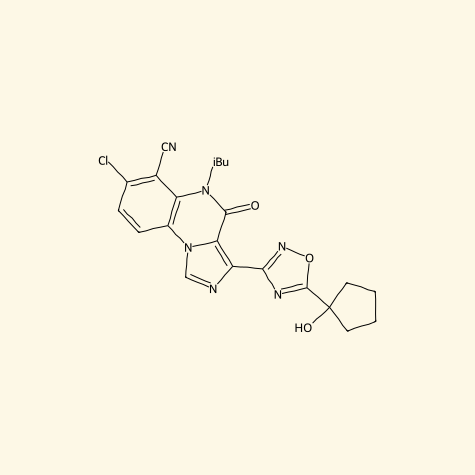 CCC(C)n1c(=O)c2c(-c3noc(C4(O)CCCC4)n3)ncn2c2ccc(Cl)c(C#N)c21